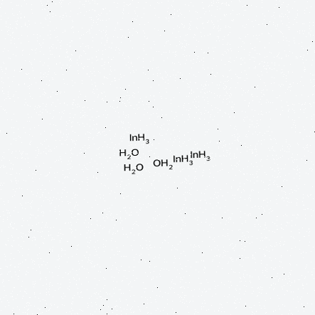 O.O.O.[InH3].[InH3].[InH3]